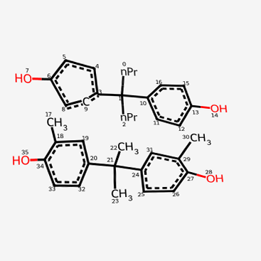 CCCC(CCC)(c1ccc(O)cc1)c1ccc(O)cc1.Cc1cc(C(C)(C)c2ccc(O)c(C)c2)ccc1O